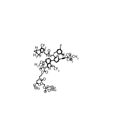 CC(C)(C)OC(=O)CN(CCOC(=O)N(c1nn(CC(F)(F)F)c2c(-c3ccc(C#CC(C)(C)S(C)(=O)=O)nc3[C@H](Cc3cc(F)cc(F)c3)NC(=O)Cn3nc(C(F)(F)F)c4c3C(F)(F)[C@@H]3C[C@H]43)ccc(Cl)c12)S(C)(=O)=O)C(=O)OCOP(=O)(OC(C)(C)C)OC(C)(C)C